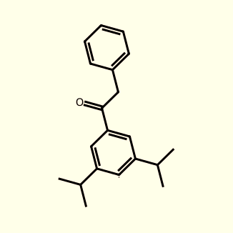 CC(C)c1[c]c(C(C)C)cc(C(=O)Cc2ccccc2)c1